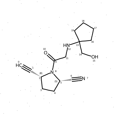 C#C[C@H]1CC[C@@H](C#N)N1C(=O)CNC1(CO)CCCC1